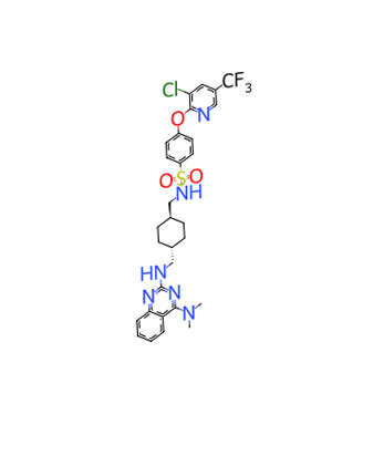 CN(C)c1nc(NC[C@H]2CC[C@H](CNS(=O)(=O)c3ccc(Oc4ncc(C(F)(F)F)cc4Cl)cc3)CC2)nc2ccccc12